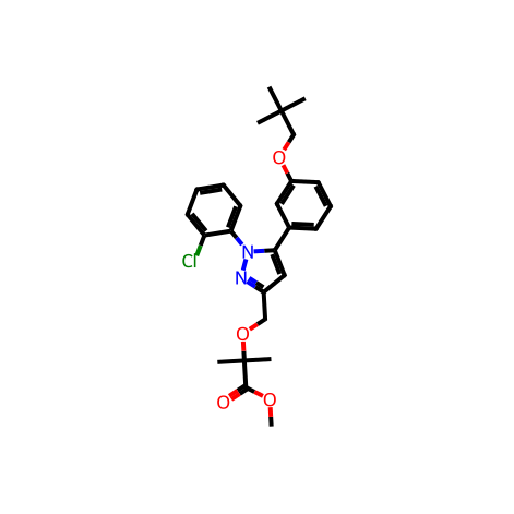 COC(=O)C(C)(C)OCc1cc(-c2cccc(OCC(C)(C)C)c2)n(-c2ccccc2Cl)n1